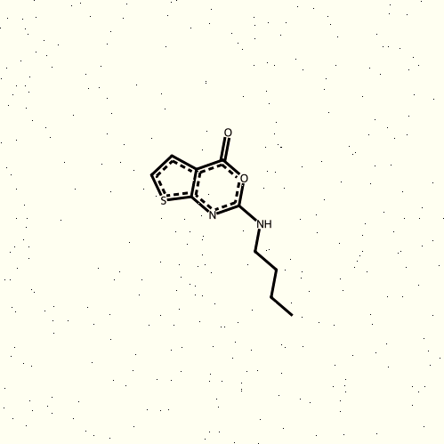 CCCCNc1nc2sccc2c(=O)o1